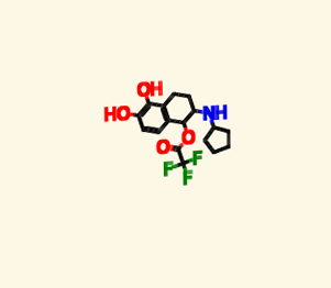 O=C(OC1c2ccc(O)c(O)c2CCC1NC1CCCC1)C(F)(F)F